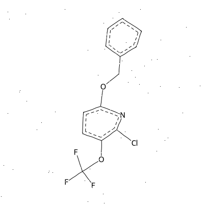 FC(F)(F)Oc1ccc(OCc2ccccc2)nc1Cl